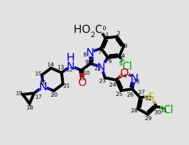 O=C(O)c1ccc(Cl)c2c1nc(C(=O)NC1CCN(C3CC3)CC1)n2Cc1cc(-c2ccc(Cl)s2)no1